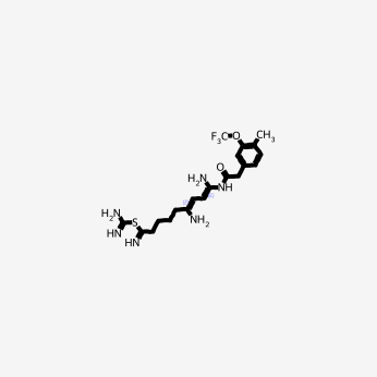 Cc1ccc(CC(=O)N/C(N)=C/C=C(\N)CCCCC(=N)SC(=N)N)cc1OC(F)(F)F